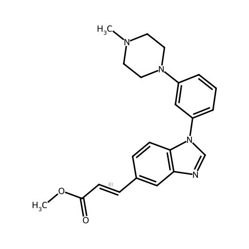 COC(=O)/C=C/c1ccc2c(c1)ncn2-c1cccc(N2CCN(C)CC2)c1